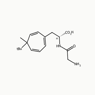 CC(C)(C)C1(C)C=CC=C(C[C@@H](NC(=O)CN)C(=O)O)C=C1